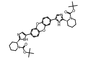 CC(C)(C)OC(=O)N1CCCC[C@H]1C1=NC=C(c2ccc3c(c2)Oc2ccc(-c4cnc([C@@H]5CCCCN5C(=O)OC(C)(C)C)[nH]4)cc2O3)B1